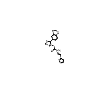 O=C(Cn1nnnc1-c1ccc2c(c1)OCO2)NN=Cc1ccco1